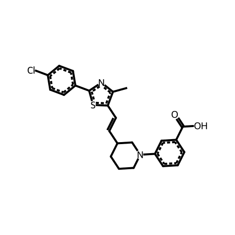 Cc1nc(-c2ccc(Cl)cc2)sc1C=CC1CCCN(c2cccc(C(=O)O)c2)C1